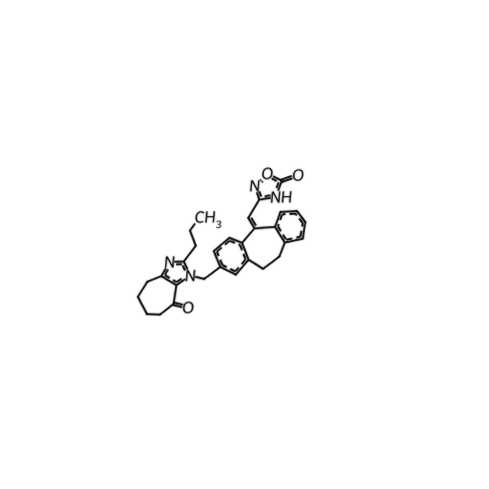 CCCc1nc2c(n1Cc1ccc3c(c1)CCc1ccccc1/C3=C\c1noc(=O)[nH]1)C(=O)CCCC2